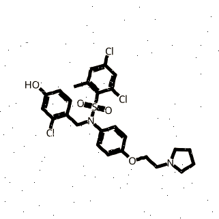 Cc1cc(Cl)cc(Cl)c1S(=O)(=O)N(Cc1ccc(O)cc1Cl)c1ccc(OCCN2CCCC2)cc1